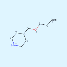 CC(=O)OCCOCC1CCNCC1